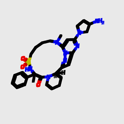 CN1CCCCS(=O)(=O)NC(C)(c2ccccc2)C(=O)N2CCCC[C@H]2c2cc3nc(N4CCC(N)C4)cc1n3n2